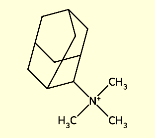 C[N+](C)(C)C1C2CC3CC(C2)CC1C3